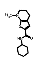 CN1CCCc2cc(C(=O)NC3CCCCC3)sc21